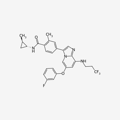 Cc1cc(-c2cnc3c(NCCC(F)(F)F)cc(Oc4cccc(F)c4)cn23)ccc1C(=O)N[C@@H]1C[C@H]1C